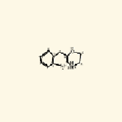 Nc1ccc[c]c1CC1CNCCO1